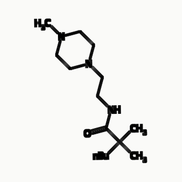 CCCCC(C)(C)C(=O)NCCN1CCN(C)CC1